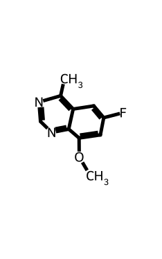 COc1cc(F)cc2c(C)ncnc12